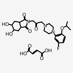 CC(C)Oc1ccc(F)cc1N1CCN(CC(=O)CN2C(=O)C3CC(O)C(O)CC3C2=O)CC1.O=C(O)C=CC(=O)O